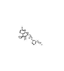 O=c1[nH]c(COCCc2cccc(OC(F)(F)F)c2)nc2nc(F)ccc12